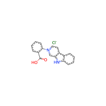 O=C(O)c1ccccc1-[n+]1ccc2c(c1)[nH]c1ccccc12.[Cl-]